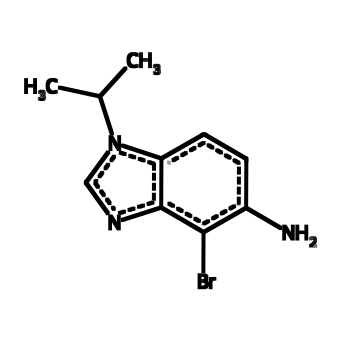 CC(C)n1cnc2c(Br)c(N)ccc21